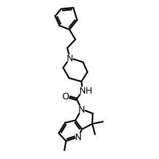 Cc1ccc2c(n1)C(C)(C)CN2C(=O)NC1CCN(CCc2ccccc2)CC1